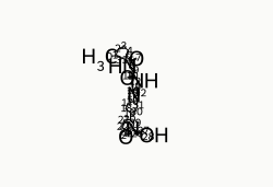 Cc1cccc(C(=O)NCC(=O)NC2CN(C3CCC(c4ccc(=O)n(CCO)c4)CC3)C2)c1